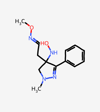 CON=CCC1(NO)CN(C)N=C1c1ccccc1